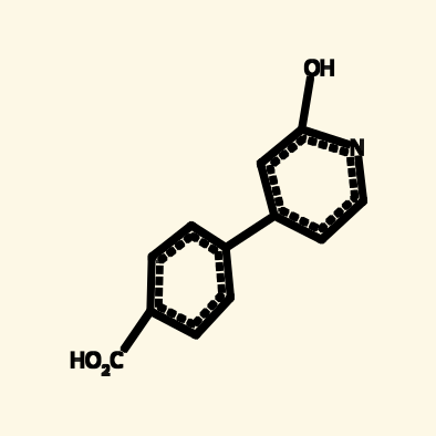 O=C(O)c1ccc(-c2ccnc(O)c2)cc1